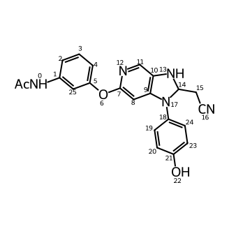 CC(=O)Nc1cccc(Oc2cc3c(cn2)NC(CC#N)N3c2ccc(O)cc2)c1